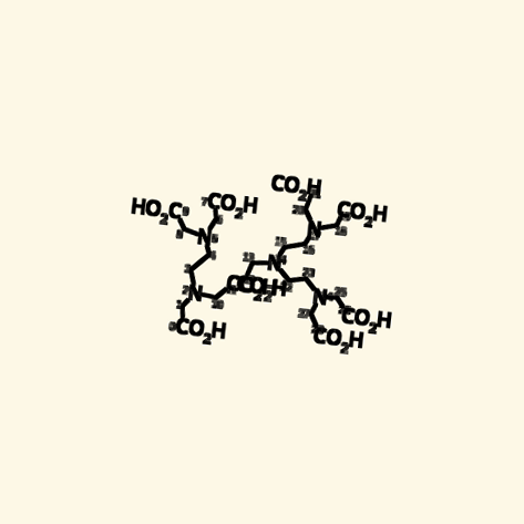 O=C(O)CN(CCN(CC(=O)O)CC(=O)O)CC(=O)O.O=C(O)CN(CCN(CC(=O)O)CC(=O)O)CCN(CC(=O)O)CC(=O)O